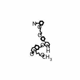 COCCCN1C(=O)CCc2ccc(CO[C@H]3CNCC[C@@H]3c3ccc(OCCCOc4ccccc4C#N)cc3)cc21